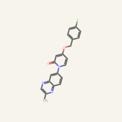 Cc1cnc2cc(-n3ccc(OCc4ccc(F)cc4)cc3=O)ccc2n1